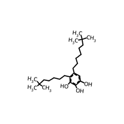 CC(C)(C)CCCCCCc1cc(O)c(O)c(O)c1CCCCCC(C)(C)C